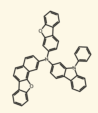 c1ccc(-n2c3ccccc3c3ccc(N(c4ccc5c(c4)oc4ccccc45)c4ccc5ccc6c7ccccc7oc6c5c4)cc32)cc1